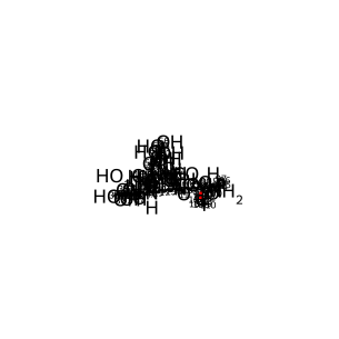 CC1=C(c2cccc(CCC(=O)NCCCCCCCC(=O)N[C@H](CCC(=O)NC[C@H](O)[C@@H](O)[C@H](O)[C@H](O)CO)C(=O)N[C@H](CCC(=O)O)C(=O)N[C@H](CCC(=O)NC[C@H](O)[C@@H](O)[C@H](O)[C@H](O)CO)C(=O)NCC(N)C(=O)N[C@@H](CC(=O)O)C(=O)N[C@@H](CS)C(=O)O)c2)C(=O)C(C[C@H](N)c2ccccc2)C(=O)C1Cc1c(F)cccc1F